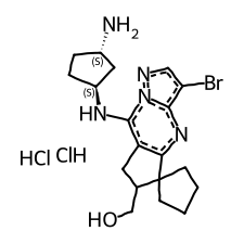 Cl.Cl.N[C@H]1CC[C@H](Nc2c3c(nc4c(Br)cnn24)C2(CCCC2)C(CO)C3)C1